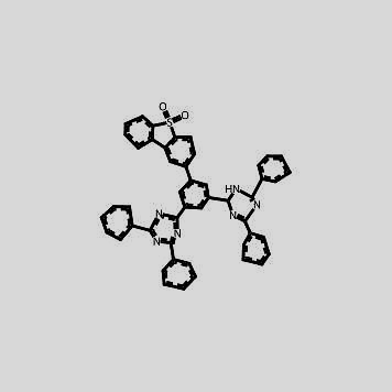 O=S1(=O)c2ccccc2-c2cc(-c3cc(-c4nc(-c5ccccc5)nc(-c5ccccc5)n4)cc(C4N=C(c5ccccc5)N=C(c5ccccc5)N4)c3)ccc21